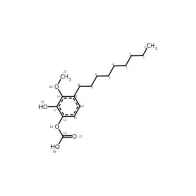 CCCCCCCCCc1ccc(OC(=O)O)c(O)c1OC